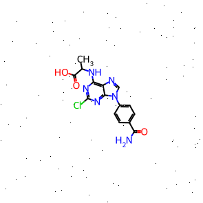 CC(Nc1nc(Cl)nc2c1ncn2-c1ccc(C(N)=O)cc1)C(=O)O